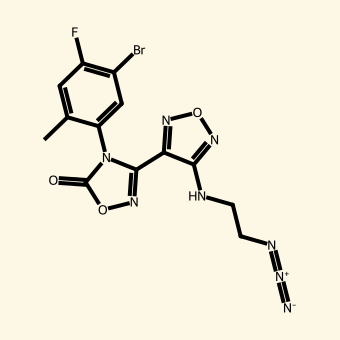 Cc1cc(F)c(Br)cc1-n1c(-c2nonc2NCCN=[N+]=[N-])noc1=O